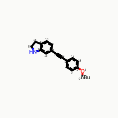 CCCCOc1ccc(C#Cc2ccc3c(c2)NCC3)cc1